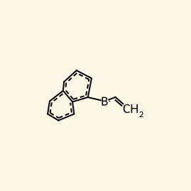 C=C[B]c1cccc2ccccc12